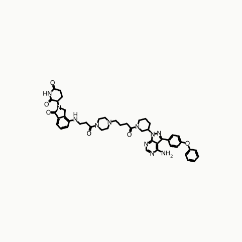 Nc1ncnc2c1c(-c1ccc(Oc3ccccc3)cc1)nn2C1CCCN(C(=O)CCCN2CCN(C(=O)CCNc3cccc4c3CN(C3CCC(=O)NC3=O)C4=O)CC2)C1